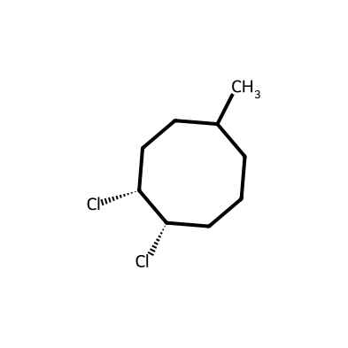 CC1CCC[C@H](Cl)[C@H](Cl)CC1